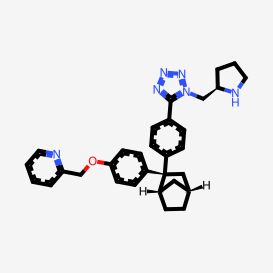 c1ccc(COc2ccc([C@@]3(c4ccc(-c5nnnn5C[C@H]5CCCN5)cc4)C[C@@H]4CC[C@H]3C4)cc2)nc1